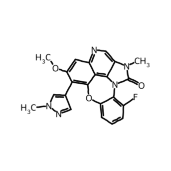 COc1cc2ncc3c4c2c(oc2cccc(F)c2n4c(=O)n3C)c1-c1cnn(C)c1